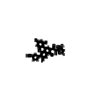 CC(C)(NC(=O)c1cn(-c2c(F)cc(F)cc2Cl)c2nc(N3CC[C@H](O)C3)c(F)cc2c1=O)C(F)F